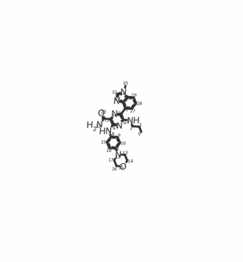 CCCNc1nc(Nc2ccc(N3CCOCC3)cc2)c(C(N)=O)nc1-c1cccc2c1ncn2C